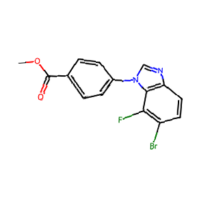 COC(=O)c1ccc(-n2cnc3ccc(Br)c(F)c32)cc1